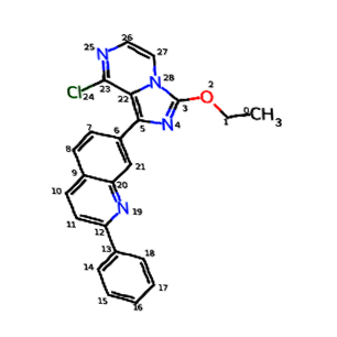 CCOc1nc(-c2ccc3ccc(-c4ccccc4)nc3c2)c2c(Cl)nccn12